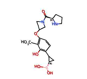 O=C(O)c1c(OC2CN(C(=O)[C@H]3CCCN3)C2)ccc(C2C[C@H]2B(O)O)c1O